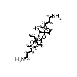 CCC(CS)(O[Si](C)(C)C(CC)(CC)O[Si](C)(C)CCCN)[Si](C)(C)CCCN